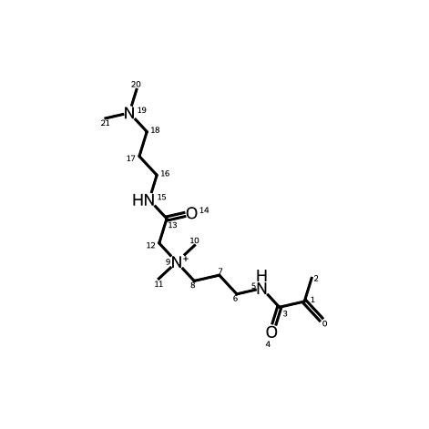 C=C(C)C(=O)NCCC[N+](C)(C)CC(=O)NCCCN(C)C